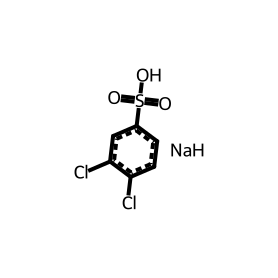 O=S(=O)(O)c1ccc(Cl)c(Cl)c1.[NaH]